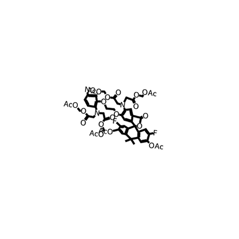 CC(=O)OCOC(=O)CN(CC(=O)OCOC(C)=O)c1ccc([N+](=O)[O-])cc1OCCOc1cc2c(cc1N(CC(=O)OCOC(C)=O)CC(=O)OCOC(C)=O)C(=O)OC21c2cc(F)c(OC(C)=O)cc2C(C)(C)c2cc(OC(C)=O)c(F)cc21